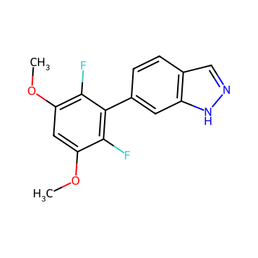 COc1cc(OC)c(F)c(-c2ccc3cn[nH]c3c2)c1F